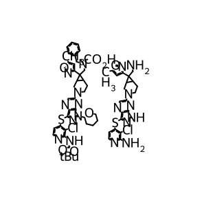 Cc1cc(C2(CN(Cc3ccccc3)C(=O)O)C3CCN(c4cnc5c(Sc6ccnc(NC(=O)OC(C)(C)C)c6Cl)nn(C6CCCCO6)c5n4)CC32)no1.Cc1cc(C2(CN)C3CCN(c4cnc5c(Sc6ccnc(N)c6Cl)n[nH]c5n4)CC32)no1